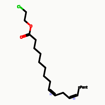 CCCCC/C=C\C/C=C\CCCCCCCC(=O)OCCCl